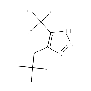 CC(C)(C)Cc1nn[nH]c1C(Cl)(Cl)Cl